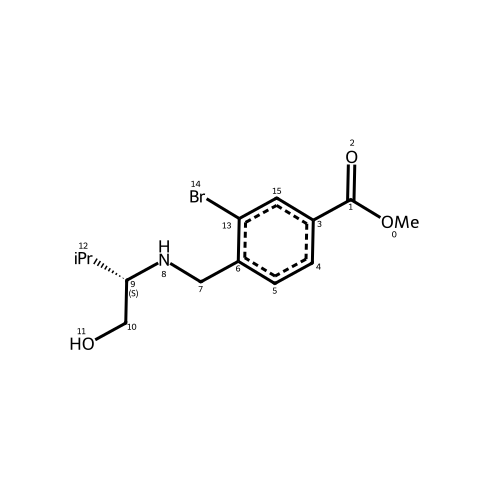 COC(=O)c1ccc(CN[C@H](CO)C(C)C)c(Br)c1